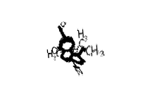 CC(C)C1=C2[C@H]3CC=C(C=O)CC(=O)[C@]3(C)CC[C@@]2(C#N)CC1